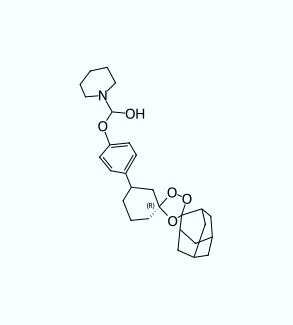 OC(Oc1ccc(C2CCC[C@]3(C2)OOC2(O3)C3CC4CC(C3)CC2C4)cc1)N1CCCCC1